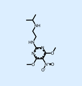 COc1nc(NCCNC(C)C)nc(OC)c1[N+](=O)[O-]